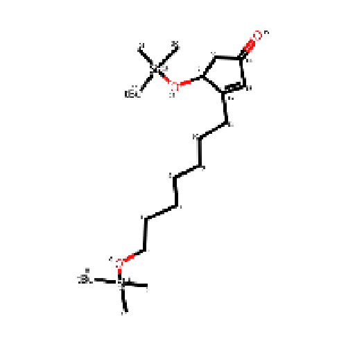 CC(C)(C)[Si](C)(C)OCCCCCCCC1=CC(=O)CC1O[Si](C)(C)C(C)(C)C